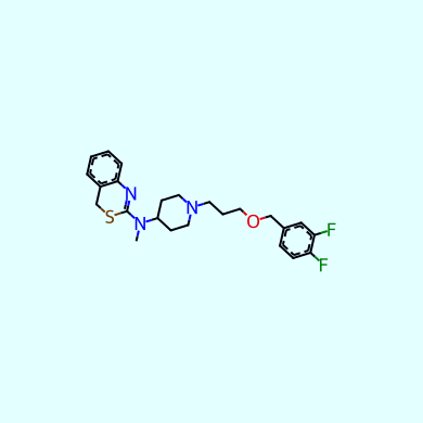 CN(C1=Nc2ccccc2CS1)C1CCN(CCCOCc2ccc(F)c(F)c2)CC1